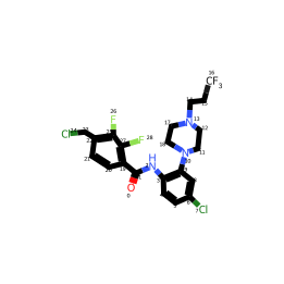 O=C(Nc1ccc(Cl)cc1N1CCN(CCC(F)(F)F)CC1)c1ccc(CCl)c(F)c1F